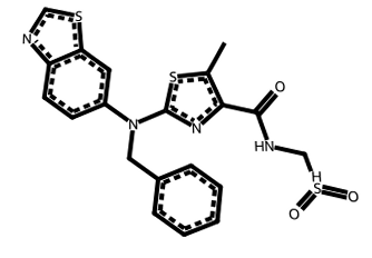 Cc1sc(N(Cc2ccccc2)c2ccc3ncsc3c2)nc1C(=O)NC[SH](=O)=O